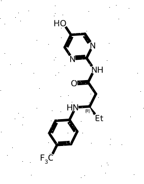 CC[C@H](CC(=O)Nc1ncc(O)cn1)Nc1ccc(C(F)(F)F)cc1